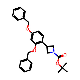 CC(C)(C)OC(=O)N1CC(c2ccc(OCc3ccccc3)cc2OCc2ccccc2)C1